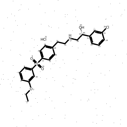 CCOc1cccc(S(=O)(=O)c2ccc(CCNC[C@H](O)c3cccc(Cl)c3)cc2)c1.Cl